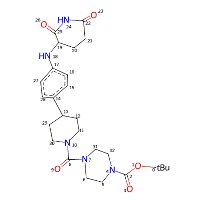 CC(C)(C)OC(=O)N1CCN(C(=O)N2CCC(c3ccc(NC4CCC(=O)NC4=O)cc3)CC2)CC1